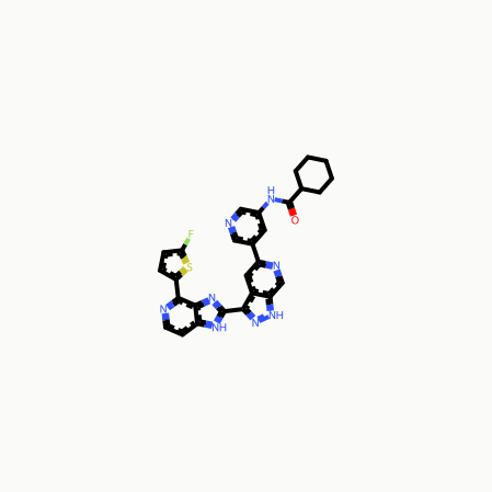 O=C(Nc1cncc(-c2cc3c(-c4nc5c(-c6ccc(F)s6)nccc5[nH]4)n[nH]c3cn2)c1)C1CCCCC1